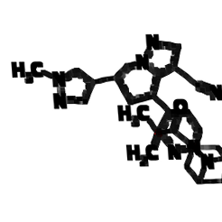 C=C(C)C(=O)N1CC2CC(C1)N2c1ccc(-c2cc(-c3cnn(C)c3)cn3ncc(C#N)c23)cn1